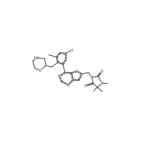 Cc1cc(Cl)cc(-c2ncnc3cc(CN4C(=O)N(C)C(C)(C)C4=O)sc23)c1CC1CNCCO1